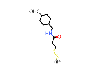 CCCSSCCC(=O)NCC1CCC(C=O)CC1